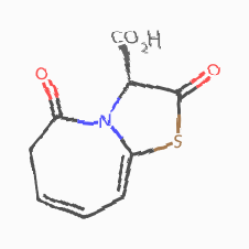 O=C(O)[C@H]1C(=O)SC2=CC=CCC(=O)N21